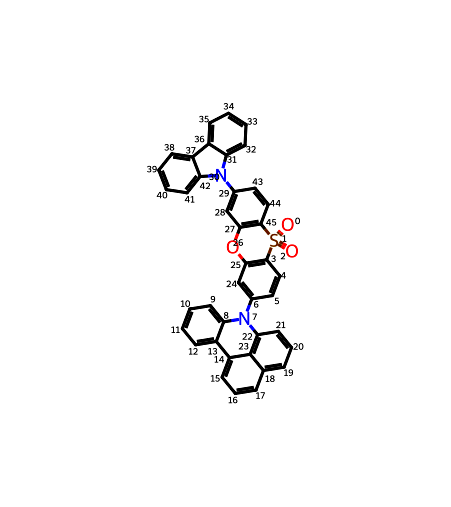 O=S1(=O)c2ccc(N3c4ccccc4-c4cccc5cccc3c45)cc2Oc2cc(-n3c4ccccc4c4ccccc43)ccc21